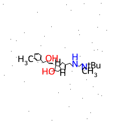 Cc1cccc(C[C@H](O)/C=C/[C@@H]2[C@H]3CC(CCNCCN(C)C(C)(C)C)=C[C@H]3C[C@H]2O)c1